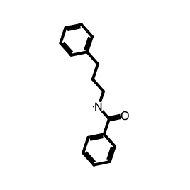 O=C([N]CCCc1ccccc1)c1ccccc1